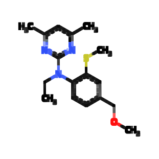 CCN(c1nc(C)cc(C)n1)c1ccc(COC)cc1SC